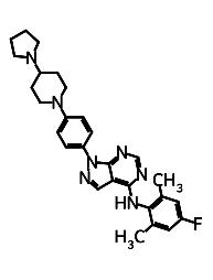 Cc1cc(F)cc(C)c1Nc1ncnc2c1cnn2-c1ccc(N2CCC(N3CCCC3)CC2)cc1